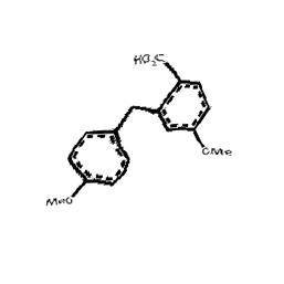 COc1ccc(Cc2cc(OC)ccc2C(=O)O)cc1